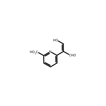 O=C/C(=C/O)c1cccc(C(=O)O)n1